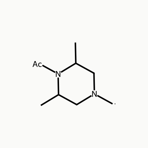 [CH2]N1CC(C)N(C(C)=O)C(C)C1